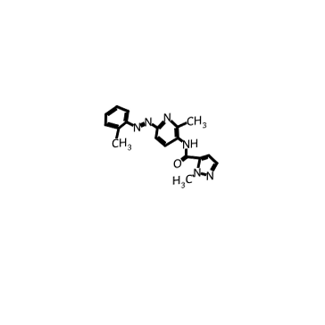 Cc1ccccc1/N=N/c1ccc(NC(=O)c2ccnn2C)c(C)n1